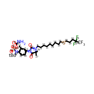 Cc1cc(N2C(=O)N(CCCCCCCCCSCCCC(F)(F)C(F)(F)F)C(C)(C)C2=O)ccc1N(C(C)(C)C)S(=O)(=O)OC(N)=O